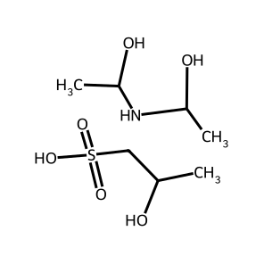 CC(O)CS(=O)(=O)O.CC(O)NC(C)O